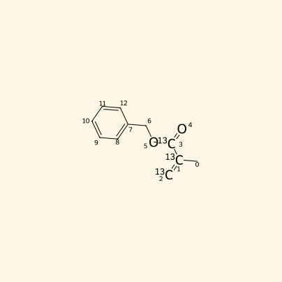 C[13C](=[13CH2])[13C](=O)OCc1ccccc1